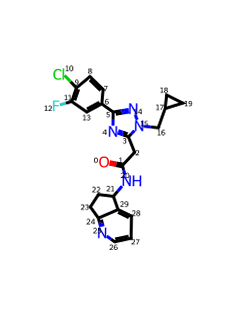 O=C(Cc1nc(-c2ccc(Cl)c(F)c2)nn1CC1CC1)NC1CCc2ncccc21